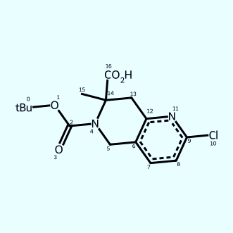 CC(C)(C)OC(=O)N1Cc2ccc(Cl)nc2CC1(C)C(=O)O